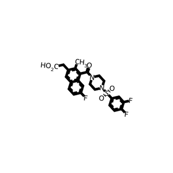 Cc1c(CC(=O)O)cc2ccc(F)cc2c1C(=O)N1CCN(S(=O)(=O)c2ccc(F)c(F)c2)CC1